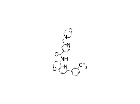 O=C(NC1CCOc2ccc(-c3cccc(C(F)(F)F)c3)nc21)c1ccnc(CN2CCOCC2)c1